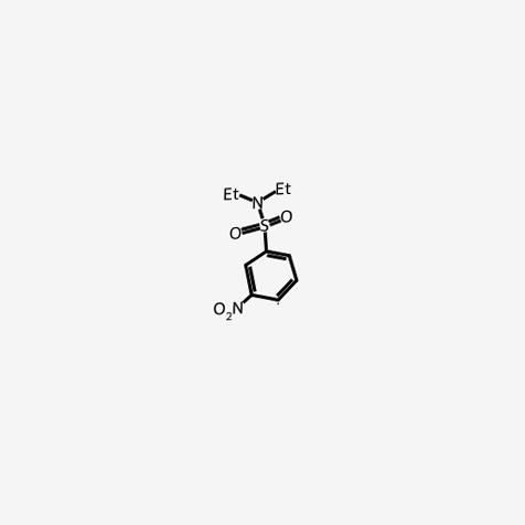 CCN(CC)S(=O)(=O)c1cc[c]c([N+](=O)[O-])c1